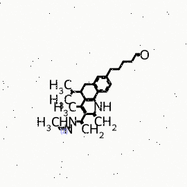 C=C(N/N=C\C)C1=C(C)C2=C(NC1=C)c1ccc(CCCCC=O)cc1CC2C(C)C